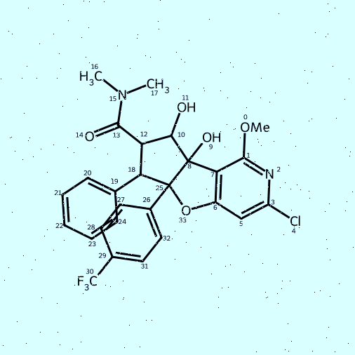 COc1nc(Cl)cc2c1C1(O)C(O)C(C(=O)N(C)C)C(c3ccccc3)C1(c1ccc(C(F)(F)F)cc1)O2